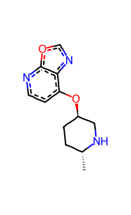 C[C@@H]1CC[C@@H](Oc2ccnc3ocnc23)CN1